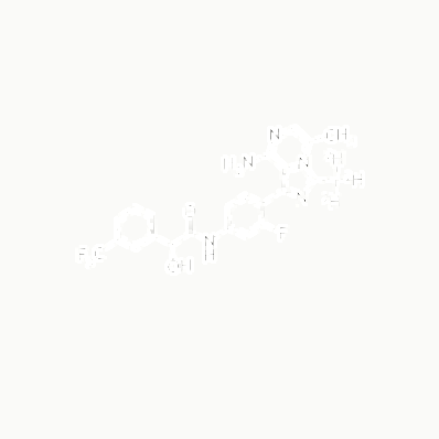 [2H]C([2H])([2H])c1nc(-c2ccc(NC(=O)[C@H](O)c3cccc(C(F)(F)F)c3)cc2F)c2c(N)ncc(C)n12